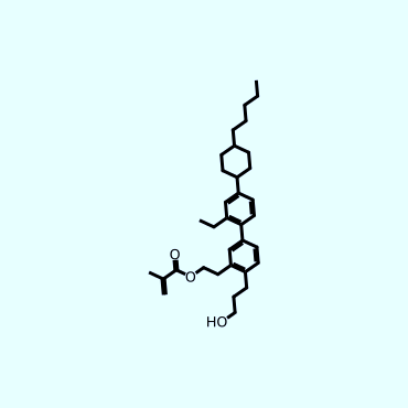 C=C(C)C(=O)OCCc1cc(-c2ccc(C3CCC(CCCCC)CC3)cc2CC)ccc1CCCO